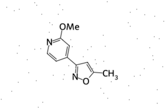 COc1cc(-c2cc(C)on2)ccn1